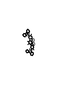 CC1=CC2Oc3c(c(C)c(C)c4c3oc3cc(C)c(-n5c6ccccc6c6ccccc65)cc34)C2C=C1n1c2ccccc2c2ccccc21